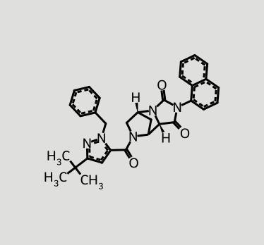 CC(C)(C)c1cc(C(=O)N2C[C@H]3CC2[C@H]2C(=O)N(c4cccc5ccccc45)C(=O)N32)n(Cc2ccccc2)n1